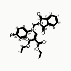 CCOC(=O)C(=CN(CN1C(=O)c2ccccc2C1=O)c1ccc(F)cc1)C(=O)OCC